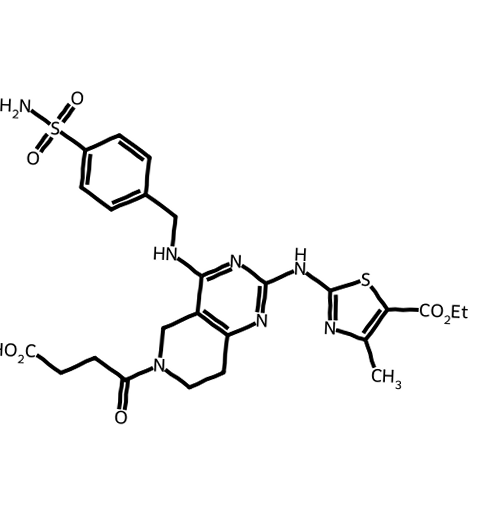 CCOC(=O)c1sc(Nc2nc3c(c(NCc4ccc(S(N)(=O)=O)cc4)n2)CN(C(=O)CCC(=O)O)CC3)nc1C